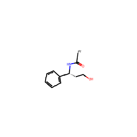 CC(C)C(=O)N[C@H](CCO)c1ccccc1